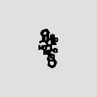 CN1C(C(=O)NN2C=C3CC=CC=C3O2)=C(O)c2c(c3ccccc3n2C)S1(=O)=O